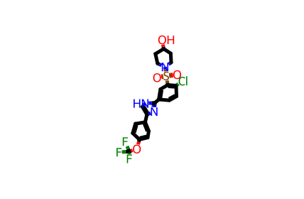 O=S(=O)(c1cc(-c2nc(-c3ccc(OC(F)(F)F)cc3)c[nH]2)ccc1Cl)N1CCC(O)CC1